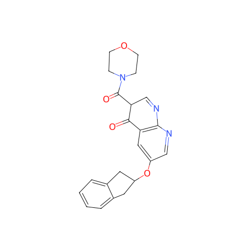 O=C1c2cc(OC3Cc4ccccc4C3)cnc2N=CC1C(=O)N1CCOCC1